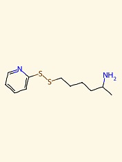 CC(N)CCCCSSc1ccccn1